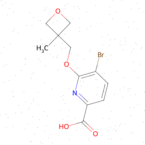 CC1(COc2nc(C(=O)O)ccc2Br)COC1